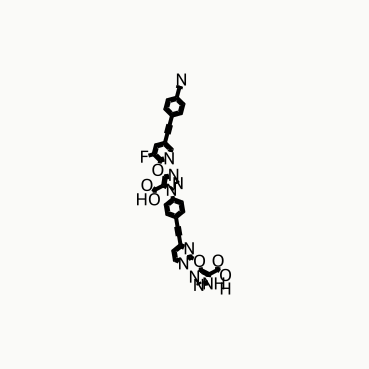 N#Cc1ccc(C#Cc2cnc(Oc3nnn(-c4ccc(C#Cc5ccnc(Oc6nn[nH]c6C(=O)O)n5)cc4)c3C(=O)O)c(F)c2)cc1